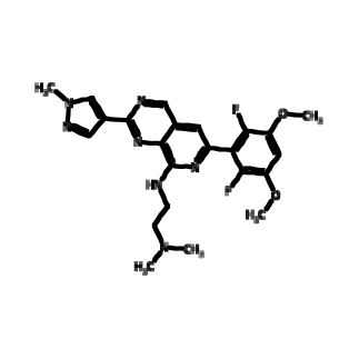 COc1cc(OC)c(F)c(-c2cc3cnc(-c4cnn(C)c4)nc3c(NCCN(C)C)n2)c1F